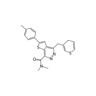 Cc1ccc(-c2cc3c(CC4=CSC=CC4)nnc(C(=O)N(C)C)c3s2)cc1